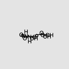 O=C(CCc1ccc(OCC(O)CNCCNC(=O)N2CCOCC2)cc1)OCC(O)CO